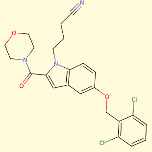 N#CCCCn1c(C(=O)N2CCOCC2)cc2cc(OCc3c(Cl)cccc3Cl)ccc21